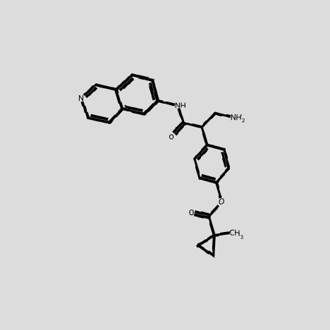 CC1(C(=O)Oc2ccc(C(CN)C(=O)Nc3ccc4cnccc4c3)cc2)CC1